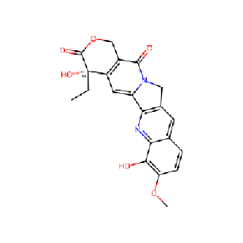 CC[C@@]1(O)C(=O)OCc2c1cc1n(c2=O)Cc2cc3ccc(OC)c(O)c3nc2-1